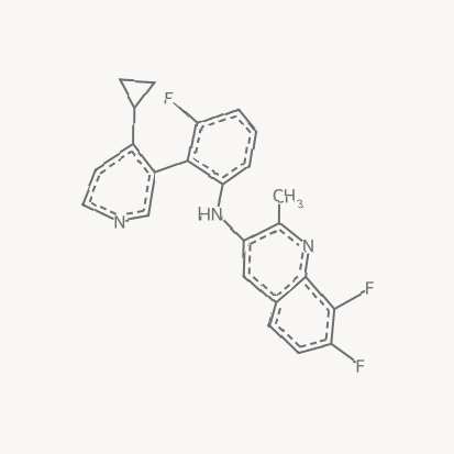 Cc1nc2c(F)c(F)ccc2cc1Nc1cccc(F)c1-c1cnccc1C1CC1